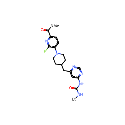 CCNC(=O)Nc1cc(CC2CCN(c3ccc(C(=O)NC)nc3F)CC2)ncn1